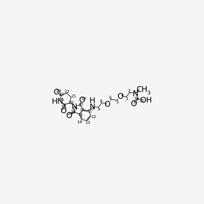 CN(CCOCCOCCNc1cccc2c1C(=O)N(C1CCC(=O)NC1=O)C2=O)C(=O)O